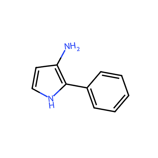 Nc1cc[nH]c1-c1ccccc1